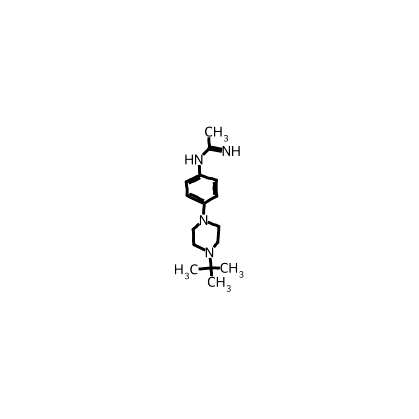 CC(=N)Nc1ccc(N2CCN(C(C)(C)C)CC2)cc1